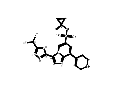 CC1(NS(=O)(=O)c2cc(C3=CCNCC3)c3ncc(-c4nnc(C(F)F)s4)n3c2)CC1